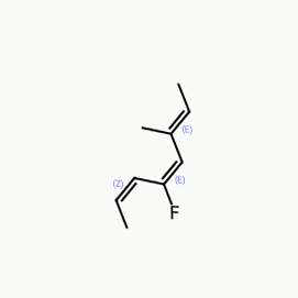 C\C=C/C(F)=C\C(C)=C\C